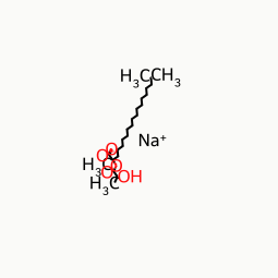 CC(C)CCCCCCCCCCCCCCCC(C)(OC(=O)C(C)O)C(=O)[O-].[Na+]